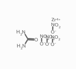 NC(N)=O.O=[N+]([O-])[O-].O=[N+]([O-])[O-].O=[N+]([O-])[O-].O=[N+]([O-])[O-].[Zr+4]